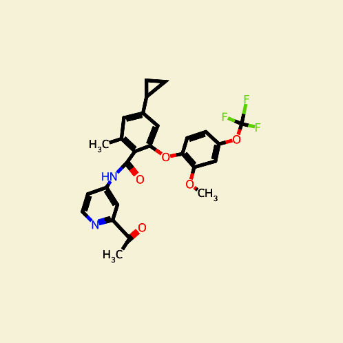 COc1cc(OC(F)(F)F)ccc1Oc1cc(C2CC2)cc(C)c1C(=O)Nc1ccnc(C(C)=O)c1